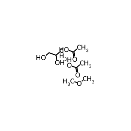 CC(=O)O.CC(=O)O.CC(O)CO.COC